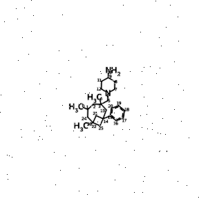 CC1CC(C)(CN2CCC(N)CC2)CC2(c3ccccc3)CC(C)(C1)C2